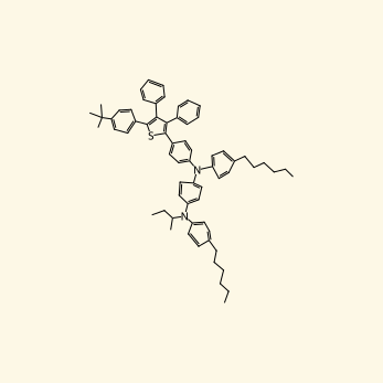 CCCCCCc1ccc(N(c2ccc(-c3sc(-c4ccc(C(C)(C)C)cc4)c(-c4ccccc4)c3-c3ccccc3)cc2)c2ccc(N(c3ccc(CCCCCC)cc3)C(C)CC)cc2)cc1